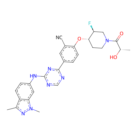 Cc1nn(C)c2cc(Nc3ncnc(-c4ccc(O[C@H]5CCN(C(=O)[C@H](C)O)C[C@@H]5F)c(C#N)c4)n3)ccc12